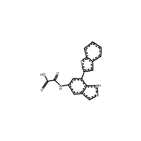 O=C(O)C(=O)Nc1cc(-c2cc3ccccc3s2)c2[nH]ncc2c1